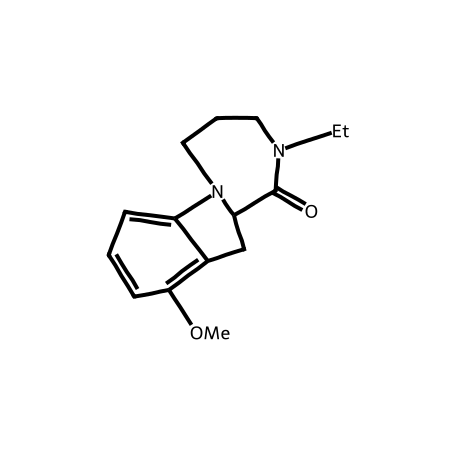 CCN1CCCN2c3cccc(OC)c3CC2C1=O